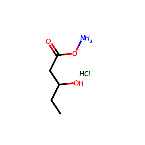 CCC(O)CC(=O)ON.Cl